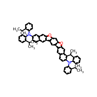 CC(C)c1ccccc1N(c1ccc2cc3c(cc2c1)oc1cc2oc4cc5c6c(ccc5cc4c2cc13)N(c1ccccc1C(C)C)c1ccccc1C6C)c1ccccc1C(C)C